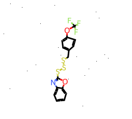 FC(F)(F)Oc1ccc(CSSSc2nc3ccccc3o2)cc1